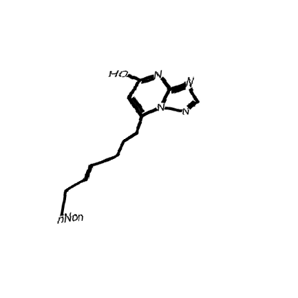 CCCCCCCCCCCCCCCc1cc(O)nc2ncnn12